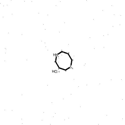 C1CNCCCSC1.Cl